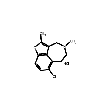 Cc1oc2ccc(Cl)c3c2c1CN(C)CC3.Cl